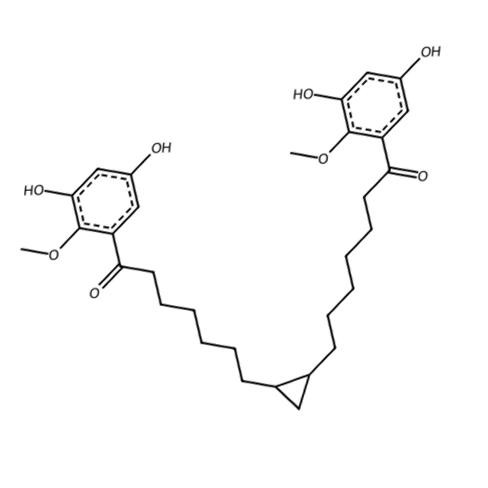 COc1c(O)cc(O)cc1C(=O)CCCCCCC1CC1CCCCCCC(=O)c1cc(O)cc(O)c1OC